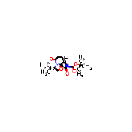 CC(C)[C@H]1CO[C@]23CC(=O)N(C(=O)OC(C)(C)C)C[C@H]2CCC(=O)N13